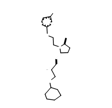 O=C(O)c1csc(SCCN2C(=O)CC[C@@H]2C=C[C@@H](O)COC2CCCCC2)n1